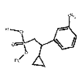 CCOP(=O)(CC(c1cccc(C)c1)C1CC1)OCC